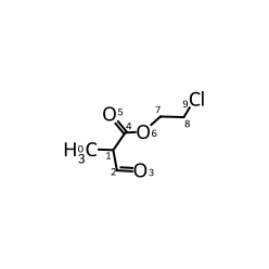 CC(C=O)C(=O)OCCCl